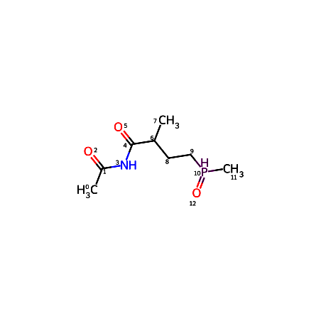 CC(=O)NC(=O)C(C)CC[PH](C)=O